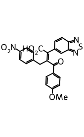 COc1ccc(C(=O)C(Cc2ccc([N+](=O)[O-])cc2)=C(C(=O)O)c2ccc3nsnc3c2)cc1